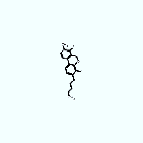 CCCCCc1ccc2c(c1F)OCc1c-2ccc(C)c1F